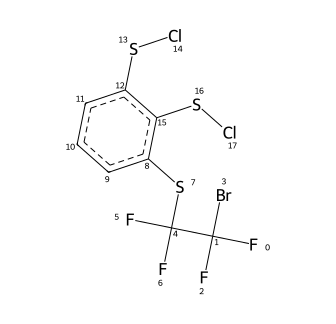 FC(F)(Br)C(F)(F)Sc1cccc(SCl)c1SCl